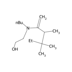 C=C(C(C)C(C)(C)CC)N(CCO)CCCC